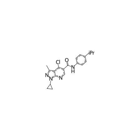 Cc1nn(C2CC2)c2ncc(C(=O)Nc3ccc(C(C)C)cc3)c(Cl)c12